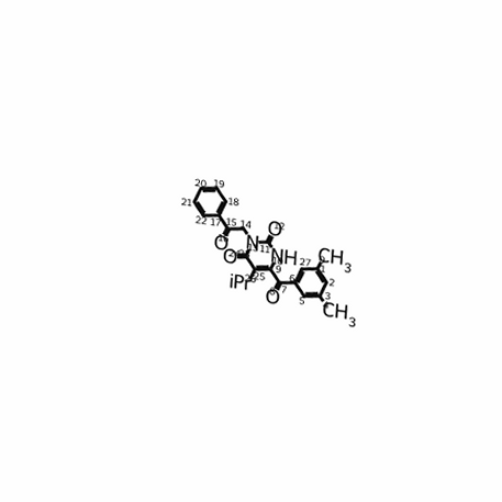 Cc1cc(C)cc(C(=O)c2[nH]c(=O)n(CC(=O)c3ccccc3)c(=O)c2C(C)C)c1